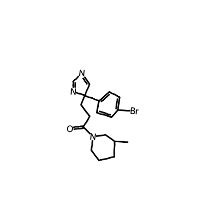 CC1CCCN(C(=O)CCC2(c3ccc(Br)cc3)C=NC=N2)C1